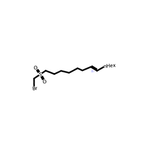 CCCCCC/C=C/CCCCCCS(=O)(=O)CBr